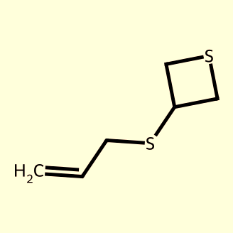 C=CCSC1CSC1